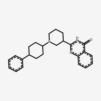 O=c1[nH]c(C2CCCN(C3CCC(c4ccccc4)CC3)C2)nc2ccccc12